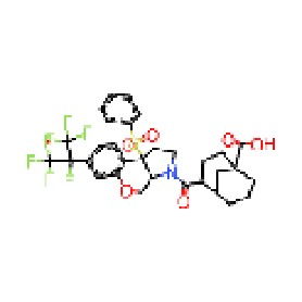 O=C(C1CCC2(C(=O)O)CCCC1C2)N1CCC2(S(=O)(=O)c3ccccc3)c3ccc(C(F)(C(F)(F)F)C(F)(F)F)cc3OCC12